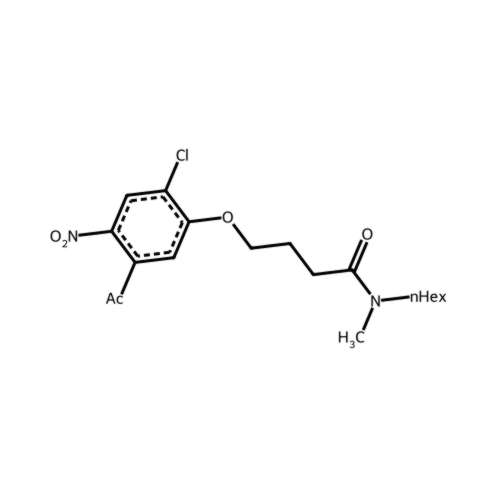 CCCCCCN(C)C(=O)CCCOc1cc(C(C)=O)c([N+](=O)[O-])cc1Cl